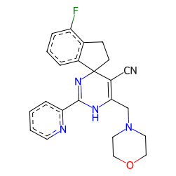 N#CC1=C(CN2CCOCC2)NC(c2ccccn2)=NC12CCc1c(F)cccc12